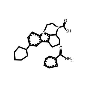 NC(=O)c1ccccc1.O=C(S)N1CCn2c3c(c4cc(C5CCCCC5)ccc42)CCCC31